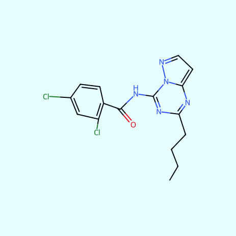 CCCCc1nc(NC(=O)c2ccc(Cl)cc2Cl)n2nccc2n1